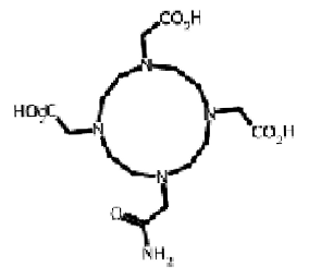 NC(=O)CN1CCN(CC(=O)O)CCN(CC(=O)O)CCN(CC(=O)O)CC1.[Gd]